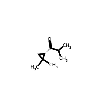 CC(C)C(=O)[C@H]1CC1(C)C